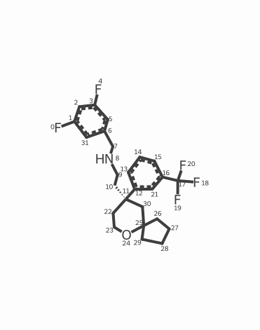 Fc1cc(F)cc(CNCC[C@@]2(c3cccc(C(F)(F)F)c3)CCOC3(CCCC3)C2)c1